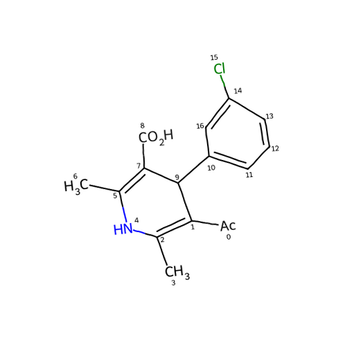 CC(=O)C1=C(C)NC(C)=C(C(=O)O)C1c1cccc(Cl)c1